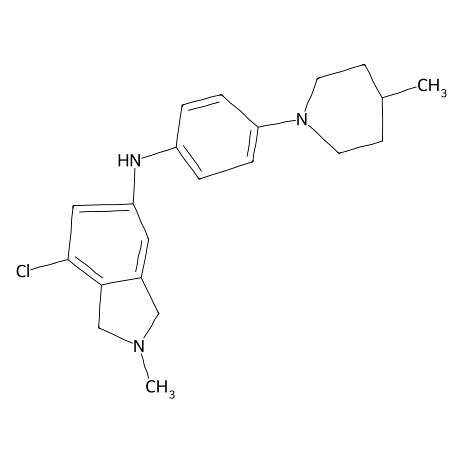 CC1CCN(c2ccc(Nc3cc(Cl)c4c(c3)CN(C)C4)cc2)CC1